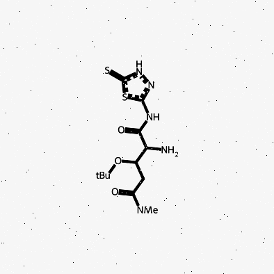 CNC(=O)CC(OC(C)(C)C)C(N)C(=O)Nc1n[nH]c(=S)s1